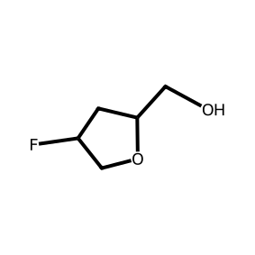 OCC1CC(F)CO1